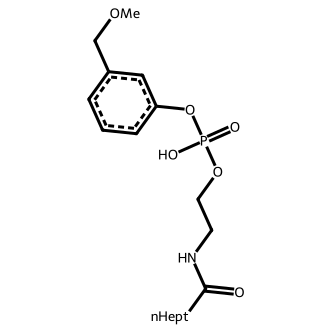 CCCCCCCC(=O)NCCOP(=O)(O)Oc1cccc(COC)c1